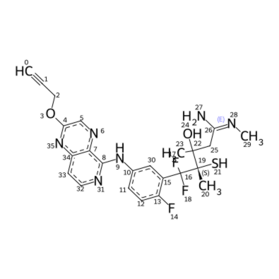 C#CCOc1cnc2c(Nc3ccc(F)c(C(F)(F)[C@@](C)(S)C(C)(O)C/C(N)=N\C)c3)nccc2n1